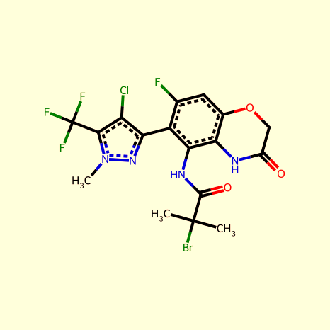 Cn1nc(-c2c(F)cc3c(c2NC(=O)C(C)(C)Br)NC(=O)CO3)c(Cl)c1C(F)(F)F